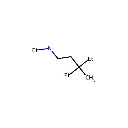 [CH2]C[N]CCC(C)(CC)CC